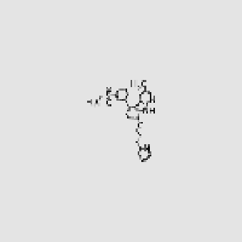 CCS(=O)(=O)c1cccc(-c2ccc(OCCCc3ccccn3)c3[nH]c4ncc(C)cc4c23)c1